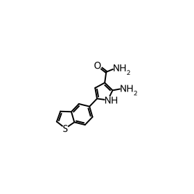 NC(=O)c1cc(-c2ccc3sccc3c2)[nH]c1N